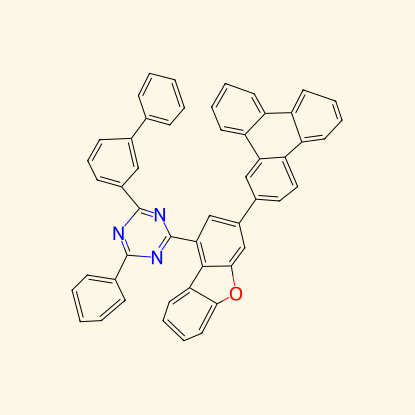 c1ccc(-c2cccc(-c3nc(-c4ccccc4)nc(-c4cc(-c5ccc6c7ccccc7c7ccccc7c6c5)cc5oc6ccccc6c45)n3)c2)cc1